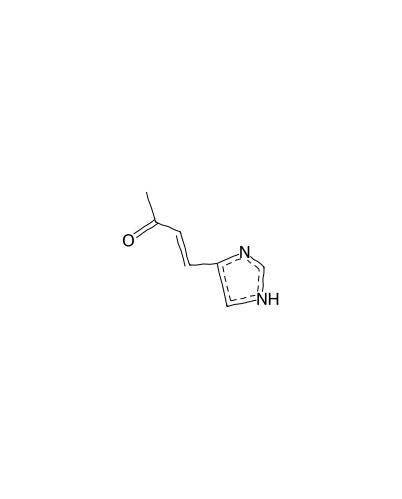 CC(=O)/C=C/c1c[nH]cn1